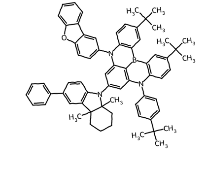 CC(C)(C)c1ccc(N2c3ccc(C(C)(C)C)cc3B3c4cc(C(C)(C)C)ccc4N(c4ccc5oc6ccccc6c5c4)c4cc(N5c6ccc(-c7ccccc7)cc6C6(C)CCCCC56C)cc2c43)cc1